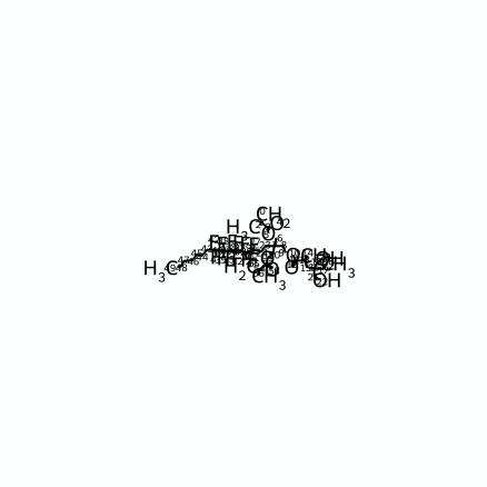 C=C(C)C(=O)OCC(CCOC(=O)C(=C)CC(CC)(CO)CO)(CCC(F)(F)C(F)(F)C(F)(F)C(F)(F)C(F)(F)C(F)(F)CCCCCCC)COC(=O)C(=C)C